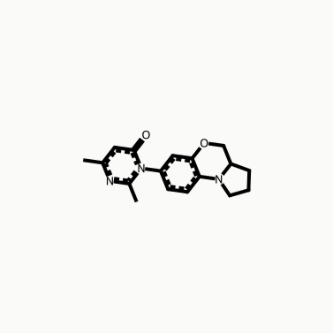 Cc1cc(=O)n(-c2ccc3c(c2)OCC2CCCN32)c(C)n1